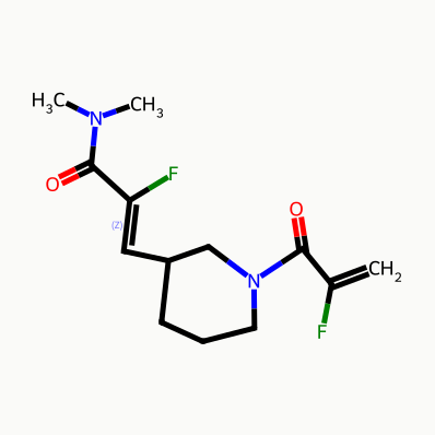 C=C(F)C(=O)N1CCCC(/C=C(\F)C(=O)N(C)C)C1